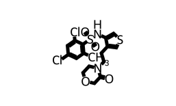 Cc1cc(Cl)cc(Cl)c1S(=O)(=O)Nc1cscc1CCN1CCOCC1=O